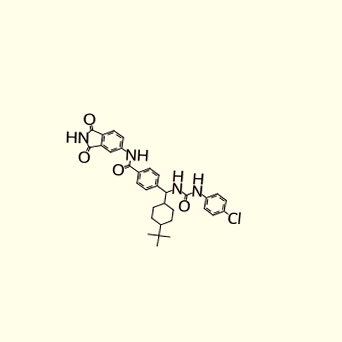 CC(C)(C)C1CCC(C(NC(=O)Nc2ccc(Cl)cc2)c2ccc(C(=O)Nc3ccc4c(c3)C(=O)NC4=O)cc2)CC1